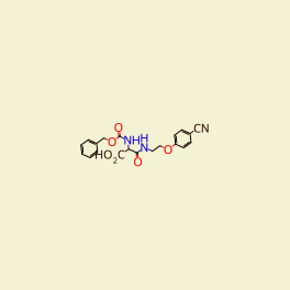 N#Cc1ccc(OCCNC(=O)C(NC(=O)OCc2ccccc2)C(=O)O)cc1